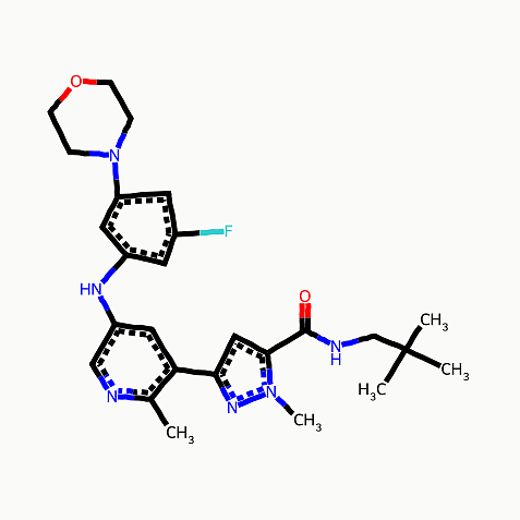 Cc1ncc(Nc2cc(F)cc(N3CCOCC3)c2)cc1-c1cc(C(=O)NCC(C)(C)C)n(C)n1